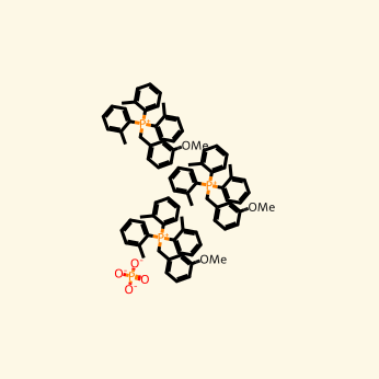 COc1cccc(C[P+](c2ccccc2C)(c2ccccc2C)c2ccccc2C)c1.COc1cccc(C[P+](c2ccccc2C)(c2ccccc2C)c2ccccc2C)c1.COc1cccc(C[P+](c2ccccc2C)(c2ccccc2C)c2ccccc2C)c1.O=P([O-])([O-])[O-]